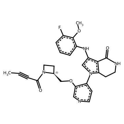 CC#CC(=O)N1CC[C@H]1COc1cnccc1-n1cc(Nc2cccc(F)c2OC)c2c1CCNC2=O